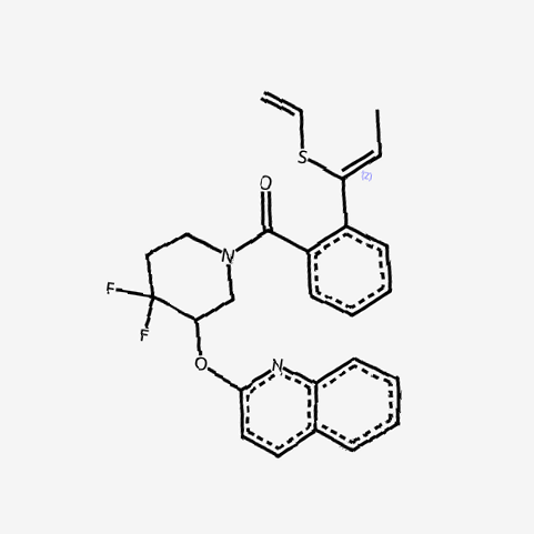 C=CS/C(=C\C)c1ccccc1C(=O)N1CCC(F)(F)C(Oc2ccc3ccccc3n2)C1